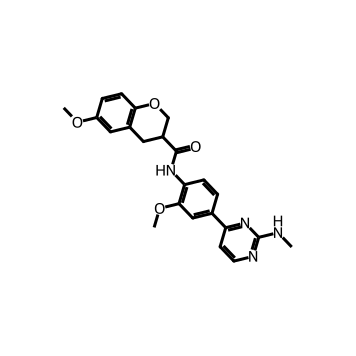 CNc1nccc(-c2ccc(NC(=O)C3COc4ccc(OC)cc4C3)c(OC)c2)n1